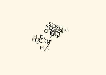 CCCC[N+](CCCC)(CCCC)CCCC.[Ni+3].[S-]c1c(Cl)cc(Cl)c(Cl)c1[S-].[S-]c1c(Cl)cc(Cl)c(Cl)c1[S-]